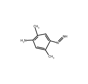 Cc1cc(N=N)c(C)cc1N